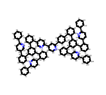 c1ccc(-c2ccc(-c3ccccc3-c3cc(-c4ccccc4-c4ccc(-c5cc(-c6ccc(-c7ccccc7-c7cc(-c8ccccc8-c8ccc(-c9ccccc9)nc8)cc(-c8ccccc8-c8ccc(-c9ccccc9)nc8)c7)cn6)ccn5)cc4)cc(-c4ccccc4-c4ccc(-c5ccccc5)nc4)c3)cn2)cc1